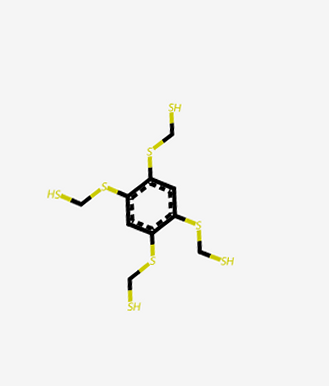 SCSc1cc(SCS)c(SCS)cc1SCS